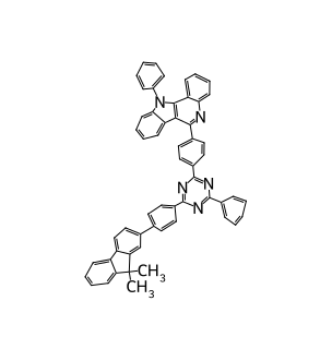 CC1(C)c2ccccc2-c2ccc(-c3ccc(-c4nc(-c5ccccc5)nc(-c5ccc(-c6nc7ccccc7c7c6c6ccccc6n7-c6ccccc6)cc5)n4)cc3)cc21